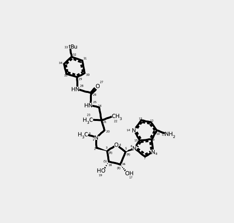 CN(C[C@H]1O[C@@H](n2cnc3c(N)ccnc32)[C@H](O)[C@@H]1O)CC(C)(C)CNC(=O)Nc1ccc(C(C)(C)C)cc1